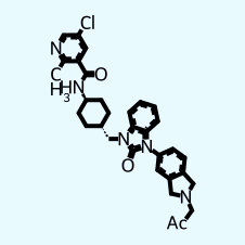 CC(=O)CN1Cc2ccc(-n3c(=O)n(C[C@H]4CC[C@H](NC(=O)c5cc(Cl)cnc5C)CC4)c4ccccc43)cc2C1